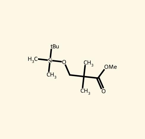 COC(=O)C(C)(C)CO[Si](C)(C)C(C)(C)C